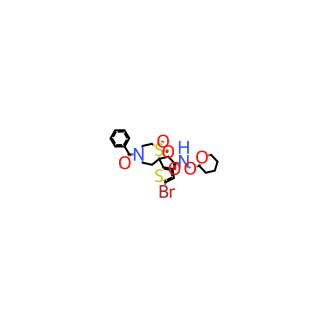 O=C(CC1(c2ccc(Br)s2)CCN(C(=O)c2ccccc2)CCS1(=O)=O)NOC1CCCCO1